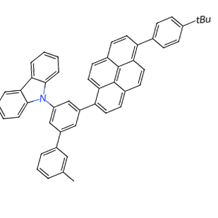 Cc1cccc(-c2cc(-c3ccc4ccc5c(-c6ccc(C(C)(C)C)cc6)ccc6ccc3c4c65)cc(-n3c4ccccc4c4ccccc43)c2)c1